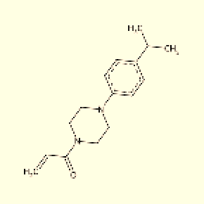 C=CC(=O)N1CCN(c2ccc(C(C)C)cc2)CC1